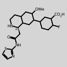 COC1CC2CCN[C@H](CC(=O)Nc3nccs3)C2CC1C1CCC(F)C(C(=O)O)C1